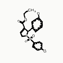 CCOC(=O)C1=CCN(S(=O)(=O)c2ccc(Cl)cc2)C1c1cccc(Cl)c1